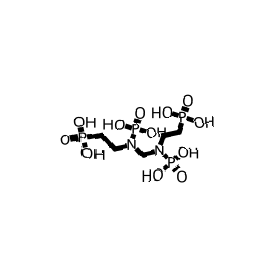 O=P(O)(O)CCN(CN(CCP(=O)(O)O)P(=O)(O)O)P(=O)(O)O